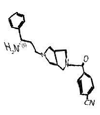 N#Cc1ccc(C(=O)N2CC3CN(CC[C@H](N)c4ccccc4)CC3C2)cc1